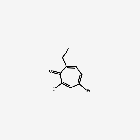 CC(C)c1ccc(CCl)c(=O)c(O)c1